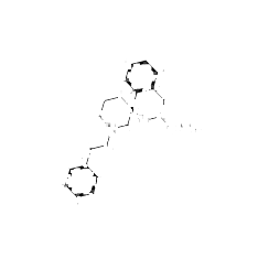 COC1Cc2ccccc2C2(CCCN(CCc3ccccc3)C2)O1